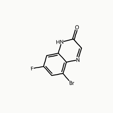 O=c1cnc2c(Br)cc(F)cc2[nH]1